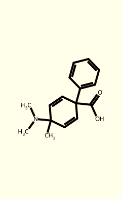 CN(C)C1(C)C=CC(C(=O)O)(c2ccccc2)C=C1